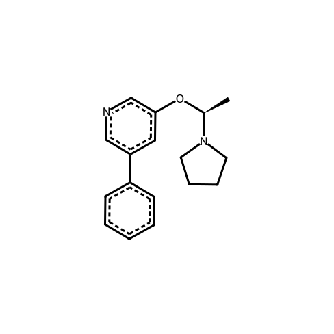 C[C@H](Oc1cncc(-c2ccccc2)c1)N1CCCC1